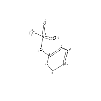 O=S(=O)(OC1=CC=NCC1)C(F)(F)F